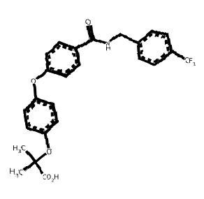 CC(C)(Oc1ccc(Oc2ccc(C(=O)NCc3ccc(C(F)(F)F)cc3)cc2)cc1)C(=O)O